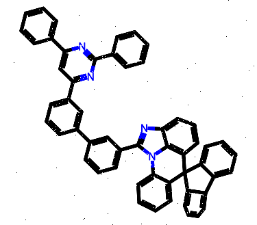 c1ccc(-c2cc(-c3cccc(-c4cccc(-c5nc6cccc7c6n5-c5ccccc5C75c6ccccc6-c6ccccc65)c4)c3)nc(-c3ccccc3)n2)cc1